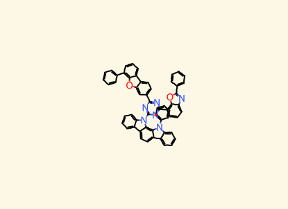 c1ccc(-c2nc3cccc(-c4nc(-c5ccc6c(c5)oc5c(-c7ccccc7)cccc56)nc(-n5c6ccccc6c6ccc7c8ccccc8n(-c8ccccc8)c7c65)n4)c3o2)cc1